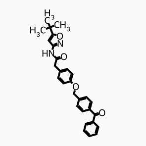 CC(C)(C)c1cc(NC(=O)Cc2ccc(OCc3ccc(C(=O)c4ccccc4)cc3)cc2)no1